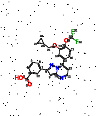 O=C(O)c1cccc(-c2cc3nccc(-c4ccc(OC(F)F)c(OCC5CC5)c4)n3n2)c1